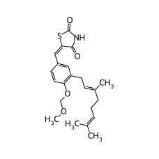 COCOc1ccc(/C=C2/SC(=O)NC2=O)cc1C/C=C(\C)CCC=C(C)C